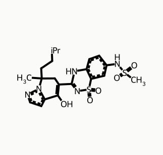 CC(C)CCC1(C)CC(C2=NS(=O)(=O)c3cc(NS(C)(=O)=O)ccc3N2)=C(O)c2ccnn21